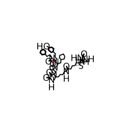 O=C(CCCC[C@@H]1SC[C@@H]2NC(=O)N[C@@H]21)NCCCCC1CNC(=O)C(=O)N1CC1CCCN1CC(CC1CCCCC1)N1CC(Cc2ccc(O)cc2)N(CCc2ccccc2)C(=O)C1=O